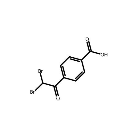 O=C(O)c1ccc(C(=O)C(Br)Br)cc1